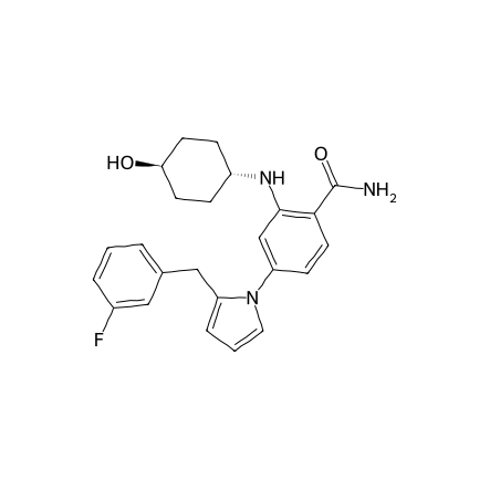 NC(=O)c1ccc(-n2cccc2Cc2cccc(F)c2)cc1N[C@H]1CC[C@H](O)CC1